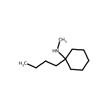 CCCCC1(NC)CCCCC1